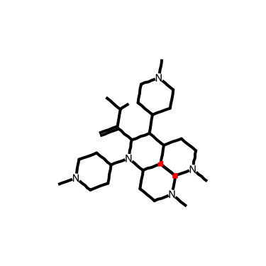 C=C(C(C)C)C(C(C1CCN(C)CC1)C1CCN(C)CC1)N(C1CCN(C)CC1)C1CCN(C)CC1